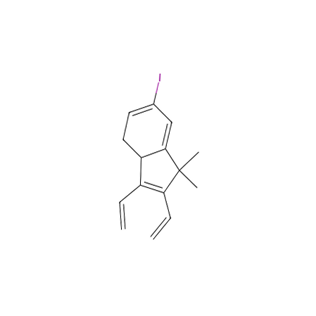 C=CC1=C(C=C)C(C)(C)C2=CC(I)=CCC21